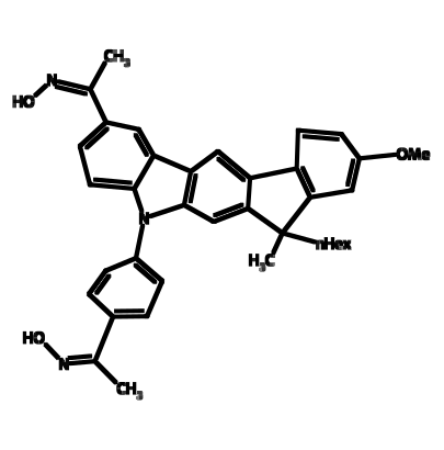 CCCCCCC1(C)c2cc(OC)ccc2-c2cc3c4cc(/C(C)=N\O)ccc4n(-c4ccc(/C(C)=N\O)cc4)c3cc21